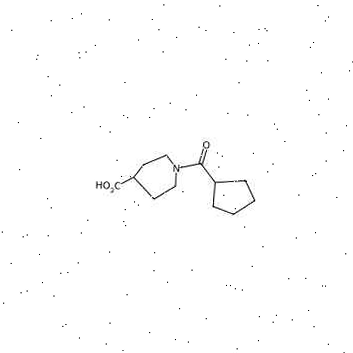 O=C(O)C1CCN(C(=O)C2CCCC2)CC1